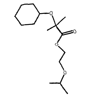 CC(C)OCCOC(=O)C(C)(C)OC1CCCCC1